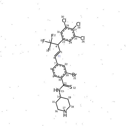 FC(F)(F)C(/C=C/c1ccc(C(=S)NC2CCNCC2)c(Br)c1)c1cc(Cl)c(Cl)c(Cl)c1